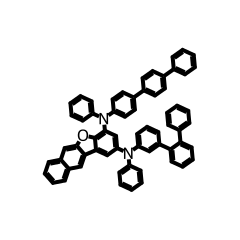 c1ccc(-c2ccc(-c3ccc(N(c4ccccc4)c4cc(N(c5ccccc5)c5cccc(-c6ccccc6-c6ccccc6)c5)cc5c4oc4cc6ccccc6cc45)cc3)cc2)cc1